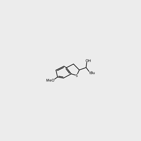 COc1ccc2c(c1)SC(C(O)C(C)(C)C)C2